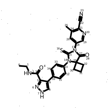 CCNC(=O)c1n[nH]cc1-c1ccc(N2C(=S)N(c3cnc(C#N)c(C)c3)C(=O)C23CCC3)cc1